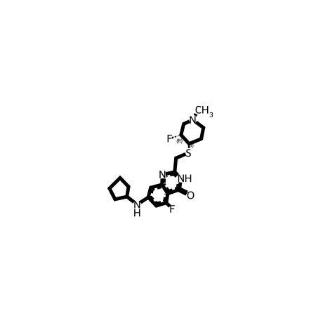 CN1CC[C@H](SCc2nc3cc(NC4CCCC4)cc(F)c3c(=O)[nH]2)[C@H](F)C1